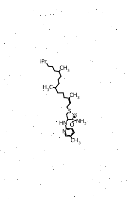 CC(=CCSCC(Nc1ccc(C)cn1)S(N)(=O)=O)CCCC(C)CCCC(C)CCCC(C)C